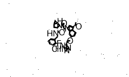 CC(=O)c1cn(CC(=O)N2[C@@H]3CC3C[C@H]2C(=O)NCc2cccc(Cl)c2F)c2cc(OCc3nn[nH]n3)ccc12